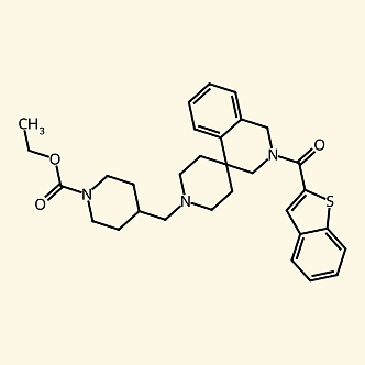 CCOC(=O)N1CCC(CN2CCC3(CC2)CN(C(=O)c2cc4ccccc4s2)Cc2ccccc23)CC1